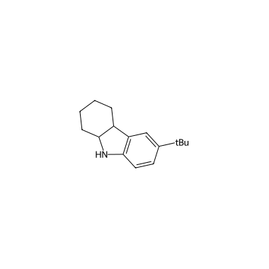 CC(C)(C)c1ccc2c(c1)C1CCCCC1N2